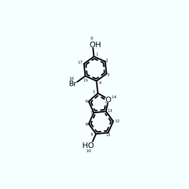 Oc1ccc(-c2cc3cc(O)ccc3o2)c(Br)c1